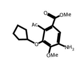 COC(=O)c1cc(N)c(OC)c(OC2CCCC2)c1C(C)=O